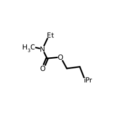 CCN(C)C(=O)OCCC(C)C